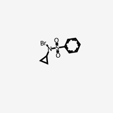 O=S(=O)(c1ccccc1)N(Br)C1CC1